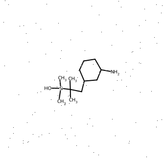 CC(C)(CC1CCCC(N)C1)[Si](C)(C)O